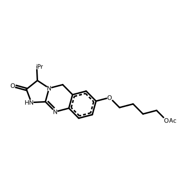 CC(=O)OCCCCOc1ccc2c(c1)CN1C(=N2)NC(=O)C1C(C)C